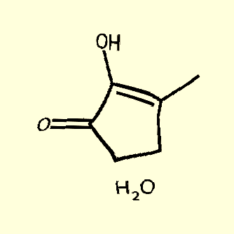 CC1=C(O)C(=O)CC1.O